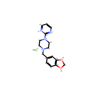 Cl.c1cnc(N2CCN(Cc3ccc4c(c3)OCO4)CC2)nc1